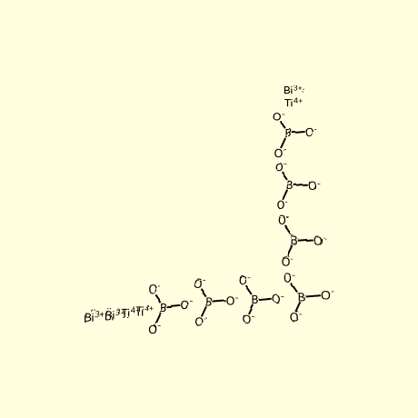 [Bi+3].[Bi+3].[Bi+3].[O-]B([O-])[O-].[O-]B([O-])[O-].[O-]B([O-])[O-].[O-]B([O-])[O-].[O-]B([O-])[O-].[O-]B([O-])[O-].[O-]B([O-])[O-].[Ti+4].[Ti+4].[Ti+4]